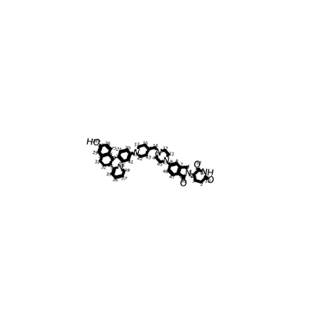 O=C1CC[C@H](N2Cc3cc(N4CCN(CC5CCN(c6ccc([C@H]7c8ccc(O)cc8CC[C@H]7c7ccccn7)cc6)CC5)CC4)ccc3C2=O)C(=O)N1